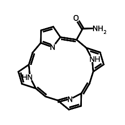 NC(=O)c1c2nc(cc3ccc(cc4nc(cc5ccc1[nH]5)C=C4)[nH]3)C=C2